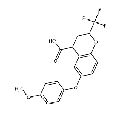 COc1ccc(Oc2ccc3c(c2)C(C(=O)O)CC(C(F)(F)F)O3)cc1